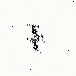 C/C(=N\C(=C(N)N)C1OC(c2ccc(C)cc2)=NN1C)c1ccc(CN(C)C)cc1